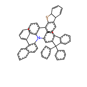 C1=CCCC(c2c(N(c3ccc4c(c3)C(c3ccccc3)(c3ccccc3)c3ccccc3-4)c3ccccc3-c3cccc4c3SC3C=CC=CC43)ccc3ccccc23)=C1